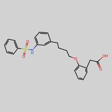 O=C(O)Cc1ccccc1OCCCCc1cccc(NS(=O)(=O)c2ccccc2)c1